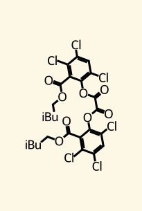 CCC(C)COC(=O)c1c(Cl)c(Cl)cc(Cl)c1OC(=O)C(=O)Oc1c(Cl)cc(Cl)c(Cl)c1C(=O)OCC(C)CC